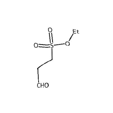 CCOS(=O)(=O)CCC=O